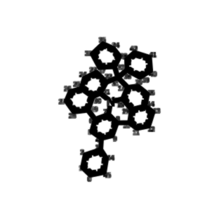 c1ccc(-c2cc3c4c(c2)-c2cccc5ccc6c(c25)N4c2c(ccc4cccc-3c24)C6(c2ccccc2)c2ccccc2)cc1